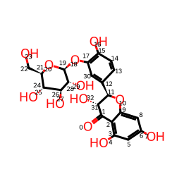 O=C1c2c(O)cc(O)cc2O[C@H](c2ccc(O)c(O[C@@H]3O[C@H](CO)[C@@H](O)[C@H](O)[C@H]3O)c2)[C@H]1O